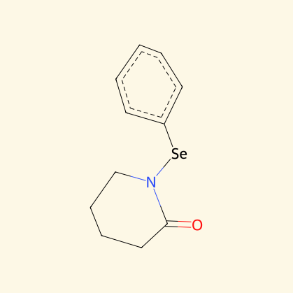 O=C1CCCCN1[Se]c1ccccc1